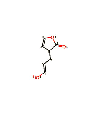 O=C1OC=CC1CC=CO